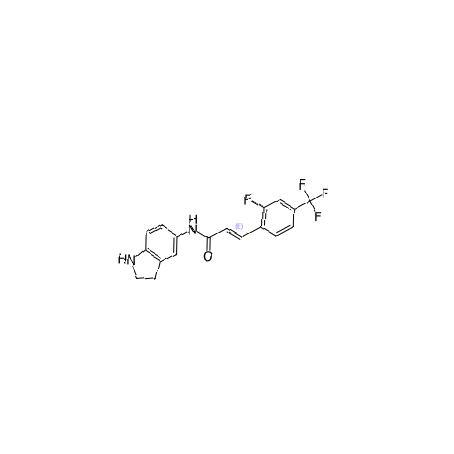 O=C(/C=C/c1ccc(C(F)(F)F)cc1F)Nc1ccc2c(c1)CCN2